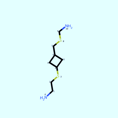 NCCSC1CC(CSCN)C1